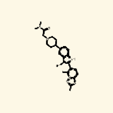 Cc1nc2ccc(-c3[nH]c4ccc(C5CCN(CC(=O)N(C)C)CC5)cc4c3C(C)C)c(C)n2n1